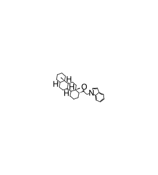 C[C@]12CCCC[C@@H]1CC[C@@H]1[C@@H]2CC[C@]2(C)[C@@H](C(=O)Cn3ccc4ccccc43)CCC[C@@H]12